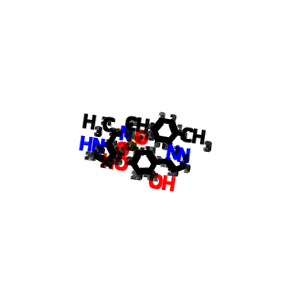 Cc1ccccc1-n1nccc1-c1cc(S(=O)(=O)N(C)C(C)c2ccc[nH]2)c(O)cc1O